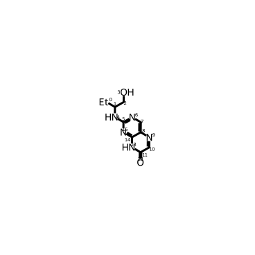 CCC(CO)Nc1ncc2ncc(=O)[nH]c2n1